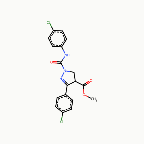 COC(=O)C1CN(C(=O)Nc2ccc(Cl)cc2)N=C1c1ccc(Cl)cc1